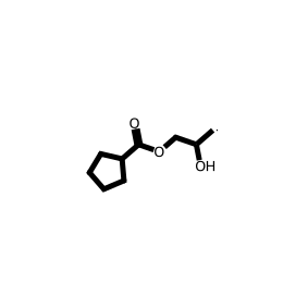 [CH2]C(O)COC(=O)C1CCCC1